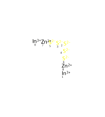 [In+3].[In+3].[S-2].[S-2].[S-2].[S-2].[S-2].[Zn+2].[Zn+2]